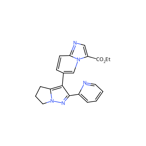 CCOC(=O)c1cnc2ccc(-c3c(-c4ccccn4)nn4c3CCC4)cn12